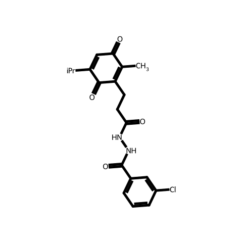 CC1=C(CCC(=O)NNC(=O)c2cccc(Cl)c2)C(=O)C(C(C)C)=CC1=O